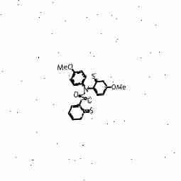 COC1=CC=C(N(c2ccc(OC)cc2)S(=O)(=O)C2=CC=CCC2=S)C(=S)C1